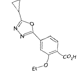 CCOc1cc(-c2nnc(C3CC3)o2)ccc1C(=O)O